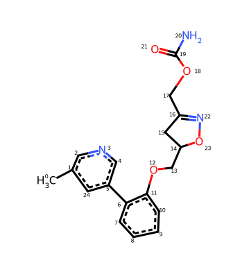 Cc1cncc(-c2ccccc2OCC2CC(COC(N)=O)=NO2)c1